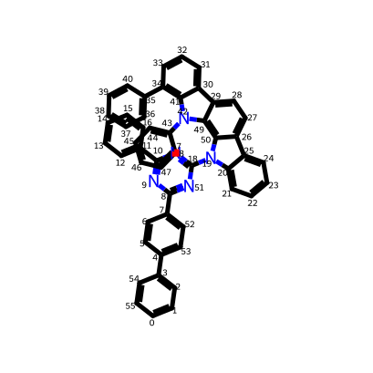 c1ccc(-c2ccc(-c3nc(-c4ccccc4)nc(-n4c5ccccc5c5ccc6c7cccc(-c8ccccc8)c7n(-c7ccccc7)c6c54)n3)cc2)cc1